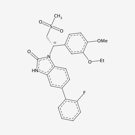 CCOc1cc([C@@H](CS(C)(=O)=O)n2c(=O)[nH]c3cc(-c4ccccc4F)ccc32)ccc1OC